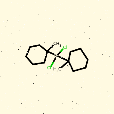 CC1([Si](Cl)(Cl)C2(C)CCCCC2)CCCCC1